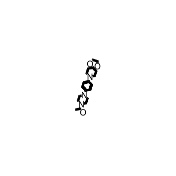 CC(=O)N1CCN(c2ccc(N3CCC4(CC3)OCCO4)cc2)CC1